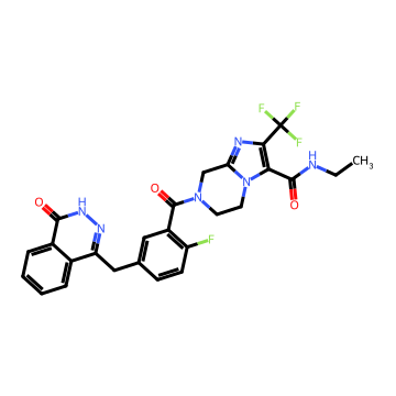 CCNC(=O)c1c(C(F)(F)F)nc2n1CCN(C(=O)c1cc(Cc3n[nH]c(=O)c4ccccc34)ccc1F)C2